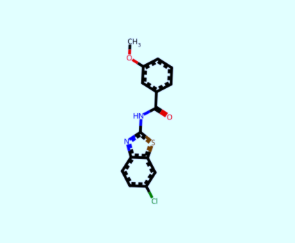 COc1cccc(C(=O)Nc2nc3ccc(Cl)cc3s2)c1